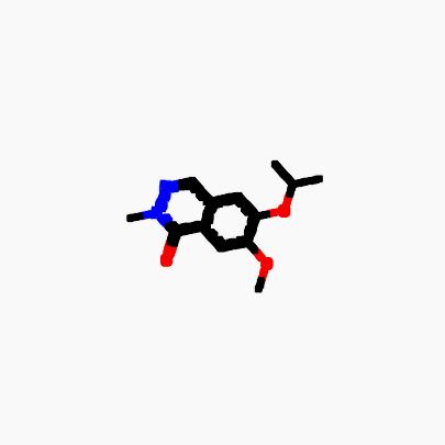 COc1cc2c(=O)n(C)ncc2cc1OC(C)C